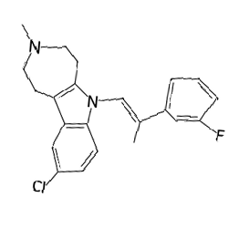 CC(=Cn1c2c(c3cc(Cl)ccc31)CCN(C)CC2)c1cccc(F)c1